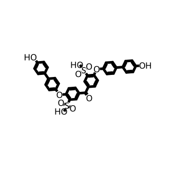 O=C(c1ccc(Oc2ccc(-c3ccc(O)cc3)cc2)c(S(=O)(=O)O)c1)c1ccc(Oc2ccc(-c3ccc(O)cc3)cc2)c(S(=O)(=O)O)c1